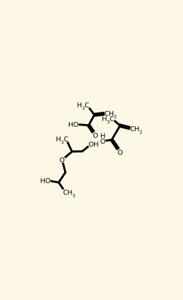 C=C(C)C(=O)O.C=C(C)C(=O)O.CC(O)COC(C)CO